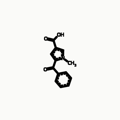 Cn1cc(C(=O)O)cc1C(=O)c1ccccc1